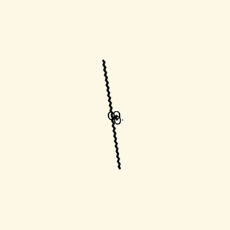 CCCCCCCCCCCCCCCCCCCCCCOC(CCCCCCCCCCCCCCCCCCCC)C([O])=O